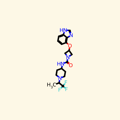 CC(N1CCC(NC(=O)N2CC(Oc3cccc4[nH]cnc34)C2)CC1)C(F)(F)F